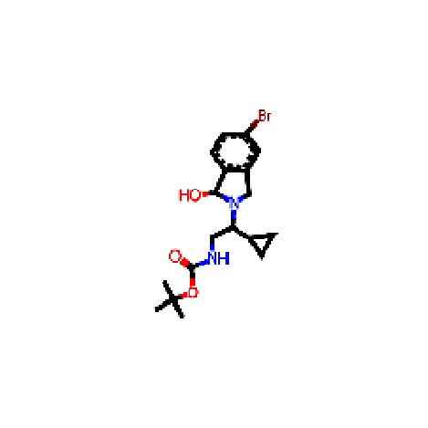 CC(C)(C)OC(=O)NCC(C1CC1)N1Cc2cc(Br)ccc2C1O